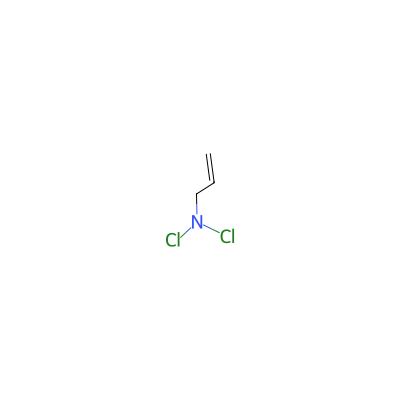 C=CCN(Cl)Cl